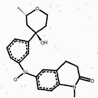 C[C@H]1C[C@@](O)(c2cccc([S+]([O-])c3ccc4c(c3)CCC(=O)N4C)c2)CCO1